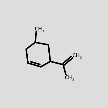 C=C(C)C1C=CCC(C)C1